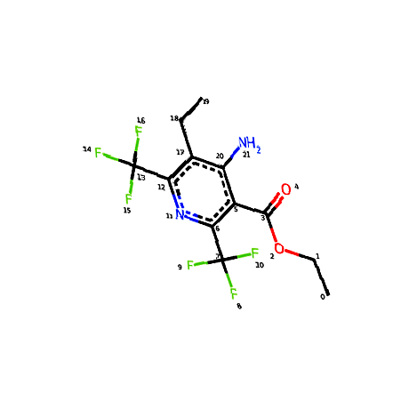 CCOC(=O)c1c(C(F)(F)F)nc(C(F)(F)F)c(CC)c1N